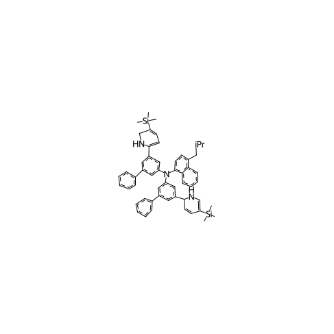 CC(C)Cc1ccc(N(c2cc(C3=CC=C([Si](C)(C)C)CN3)cc(-c3ccccc3)c2)c2cc(-c3ccccc3)cc(C3C=CC([Si](C)(C)C)=CN3)c2)c2ccccc12